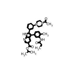 C=CC(=O)Nc1cc(-c2c(C3=CC(N4CCN(C(C)=O)CC4)CC=C3)[nH]c3ncc(C(=O)OC(C)C)cc23)ccc1C